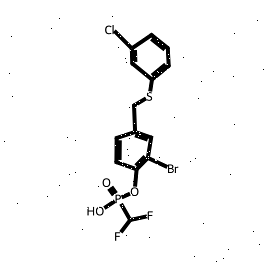 O=P(O)(Oc1ccc(CSc2cccc(Cl)c2)cc1Br)C(F)F